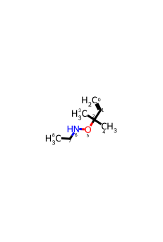 C=CC(C)(C)ONCC